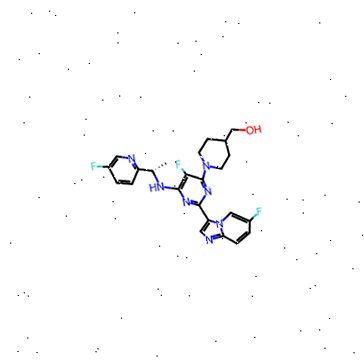 C[C@H](Nc1nc(-c2cnc3ccc(F)cn23)nc(N2CCC(CO)CC2)c1F)c1ccc(F)cn1